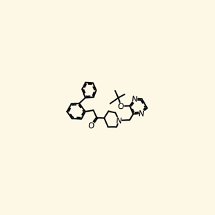 CC(C)(C)Oc1nccnc1CN1CCC(C(=O)Cc2ccccc2-c2ccccc2)CC1